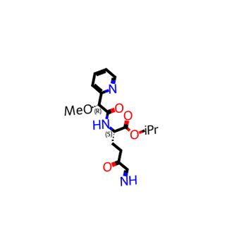 CO[C@@H](C(=O)N[C@@H](CCC(=O)C=N)C(=O)OC(C)C)c1ccccn1